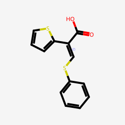 O=C(O)/C(=C/Sc1ccccc1)c1cccs1